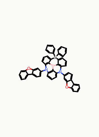 c1ccc([Si]2(c3ccccc3)c3cccc4c3B3c5c(cccc5N(c5ccc6c(c5)oc5ccccc56)c5cccc2c53)N4c2ccc3c(c2)oc2ccccc23)cc1